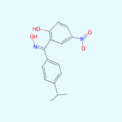 CC(C)c1ccc(C(=NO)c2cc([N+](=O)[O-])ccc2O)cc1